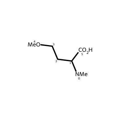 CNC(CCOC)C(=O)O